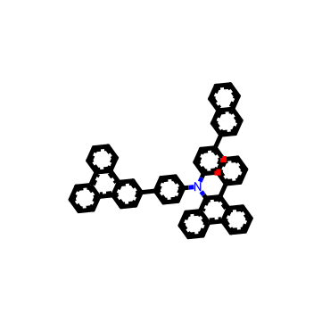 c1ccc(-c2c(N(c3ccc(-c4ccc5ccccc5c4)cc3)c3ccc(-c4ccc5c6ccccc6c6ccccc6c5c4)cc3)c3ccccc3c3ccccc23)cc1